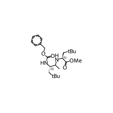 COC(=O)[C@H](CC(C)(C)C)NC(C)[C@H](CC(C)(C)C)NC(=O)OCc1ccccc1